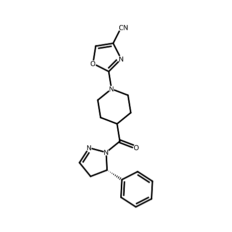 N#Cc1coc(N2CCC(C(=O)N3N=CC[C@H]3c3ccccc3)CC2)n1